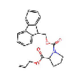 C=CCOC(=O)C1CCCN1C(=O)OCC1c2ccccc2-c2ccccc21